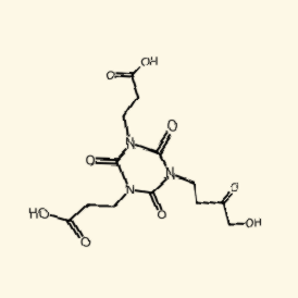 O=C(O)CCn1c(=O)n(CCC(=O)O)c(=O)n(CCC(=O)CO)c1=O